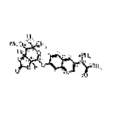 BC(=O)N(P)c1cnc2cc(O[C@@H]3OC(C)(C)[C@H](OC)[C@H]4OC(=O)O[C@@H]34)ccc2c1